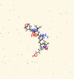 COCCCCc1cc(C[C@@H](C[C@H](N)[C@@H](O)C[C@H](C(=O)NCC2CCOCC2)C(C)C)C(C)C)cc(C)[n+]1[O-]